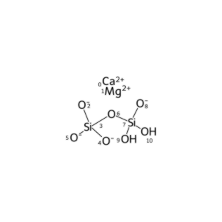 [Ca+2].[Mg+2].[O-][Si]([O-])([O-])O[Si]([O-])(O)O